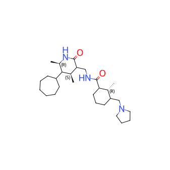 C[C@@H]1C(CN2CCCC2)CCCC1C(=O)NCC1C(=O)N[C@H](C)C(C2CCCCCC2)[C@@H]1C